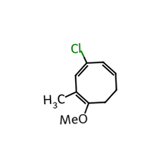 CO/C1=C(C)/C=C(Cl)\C=C/CC1